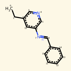 CCc1cncc(/N=C/c2ccccc2)c1